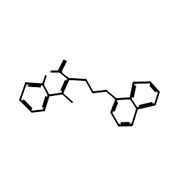 O=c1oc2ccccc2c(O)c1CCCc1cccc2ccccc12